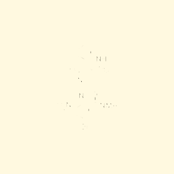 CNC(=O)c1cc(Br)cc([N+](=O)[O-])c1N1CCN(C(=O)c2cc(=O)[nH]c3ccccc23)CC1